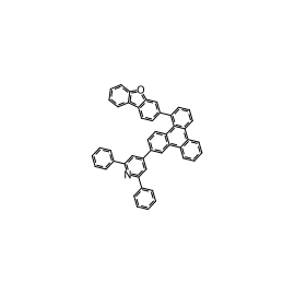 c1ccc(-c2cc(-c3ccc4c(c3)c3ccccc3c3cccc(-c5ccc6c(c5)oc5ccccc56)c34)cc(-c3ccccc3)n2)cc1